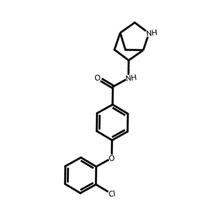 O=C(NC1CC2CNC1C2)c1ccc(Oc2ccccc2Cl)cc1